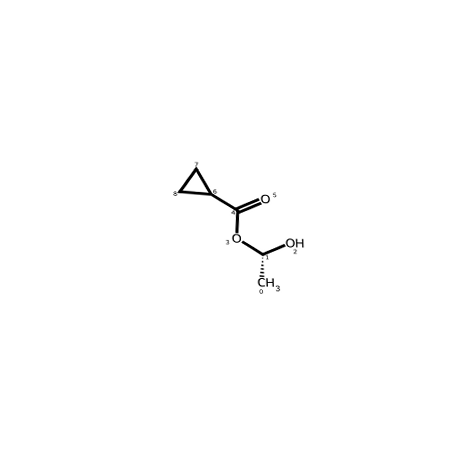 C[C@@H](O)OC(=O)C1CC1